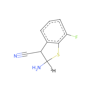 [2H]C1(N)Sc2c(F)cccc2C1C#N